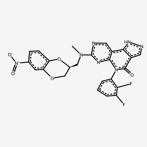 CN(C[C@H]1COc2cc([N+](=O)[O-])ccc2O1)c1ncc2c3[nH]ncc3c(=O)n(-c3cccc(F)c3F)c2n1